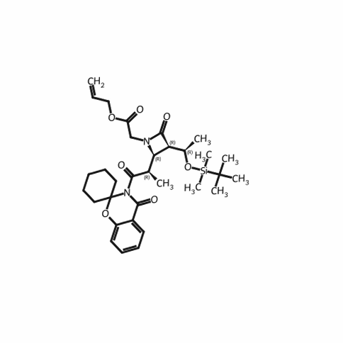 C=CCOC(=O)CN1C(=O)[C@@H]([C@@H](C)O[Si](C)(C)C(C)(C)C)[C@H]1[C@@H](C)C(=O)N1C(=O)c2ccccc2OC12CCCCC2